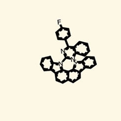 Fc1ccc(-c2nc(-n3c4ccccc4c4ccc5ccc6c7ccccc7sc6c5c43)nc3ccccc23)cc1